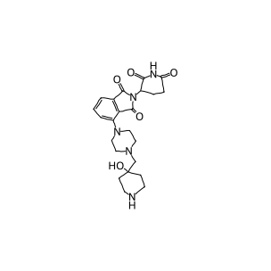 O=C1CCC(N2C(=O)c3cccc(N4CCN(CC5(O)CCNCC5)CC4)c3C2=O)C(=O)N1